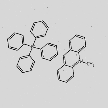 C[n+]1c2ccccc2cc2ccccc21.c1ccc([B-](c2ccccc2)(c2ccccc2)c2ccccc2)cc1